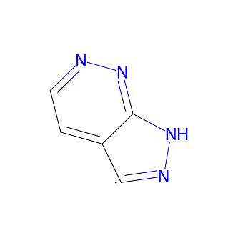 [c]1n[nH]c2nnccc12